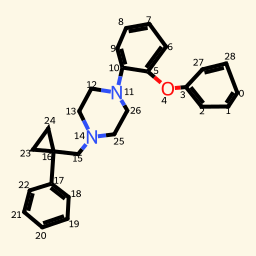 c1ccc(Oc2ccccc2N2CCN(CC3(c4ccccc4)CC3)CC2)cc1